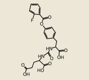 O=C(O)CCC(NC(=O)NC(Cc1ccc(OC(=O)c2ccccc2F)cc1)C(=O)O)C(=O)O